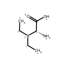 CCN(CC)[C@@H](N)C(=O)O